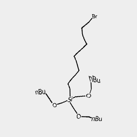 CCCCO[Si](CCCCCBr)(OCCCC)OCCCC